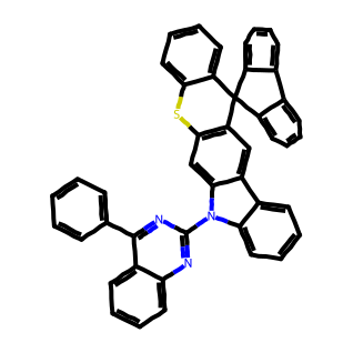 c1ccc(-c2nc(-n3c4ccccc4c4cc5c(cc43)Sc3ccccc3C53c4ccccc4-c4ccccc43)nc3ccccc23)cc1